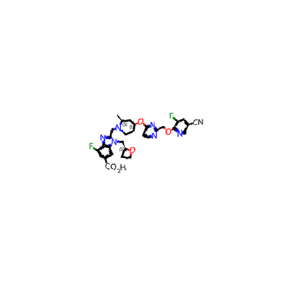 C[C@H]1C[C@@H](Oc2ccnc(COc3ncc(C#N)cc3F)n2)CCN1Cc1nc2c(F)cc(C(=O)O)cc2n1C[C@@H]1CCO1